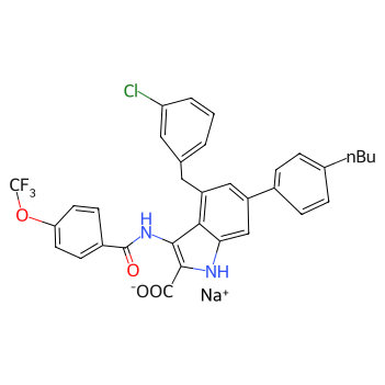 CCCCc1ccc(-c2cc(Cc3cccc(Cl)c3)c3c(NC(=O)c4ccc(OC(F)(F)F)cc4)c(C(=O)[O-])[nH]c3c2)cc1.[Na+]